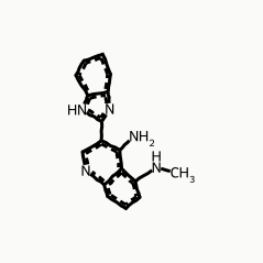 CNc1cccc2ncc(-c3nc4ccccc4[nH]3)c(N)c12